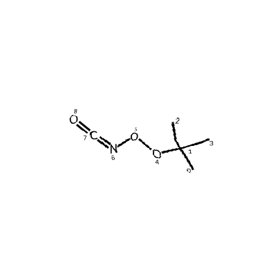 CC(C)(C)OON=C=O